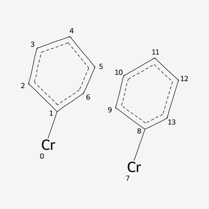 [Cr][c]1ccccc1.[Cr][c]1ccccc1